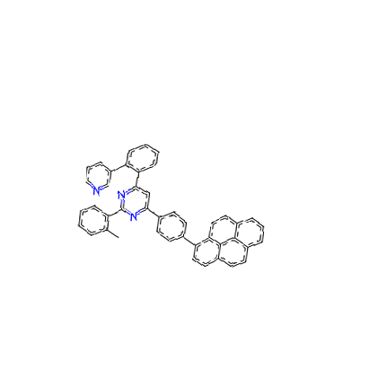 Cc1ccccc1-c1nc(-c2ccc(-c3ccc4ccc5cccc6ccc3c4c56)cc2)cc(-c2ccccc2-c2cccnc2)n1